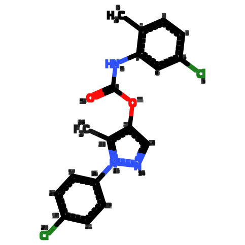 Cc1ccc(Cl)cc1NC(=O)Oc1cnn(-c2ccc(Cl)cc2)c1C(F)(F)F